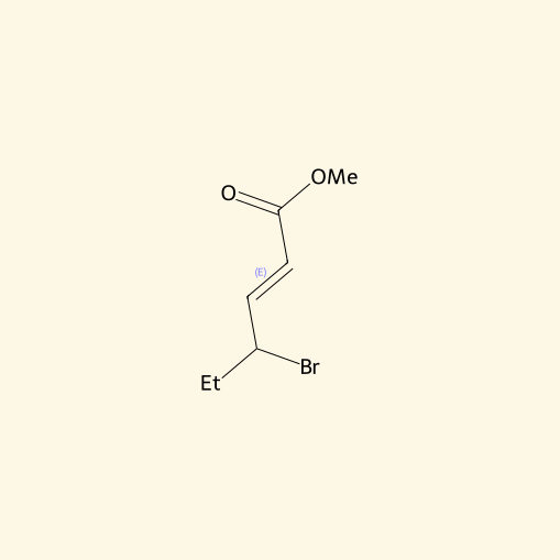 CCC(Br)/C=C/C(=O)OC